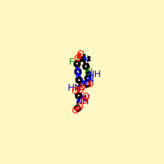 Cc1c(S(C)(=O)=O)c(-c2cc(F)cc(N3CCN(c4ccc(C(=O)NS(=O)(=O)c5ccc(NC[C@@H]6COCCO6)c([N+](=O)[O-])c5)c(N5CCCOc6nc7[nH]ccc7cc65)c4)CC3)c2)c(-c2ccc(Cl)cc2)n1C(C)C